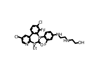 CCN1C(=O)N(c2c(F)cc(NCCNCCO)cc2F)c2c(ccc(Cl)c2F)-c2cc(Cl)cnc21